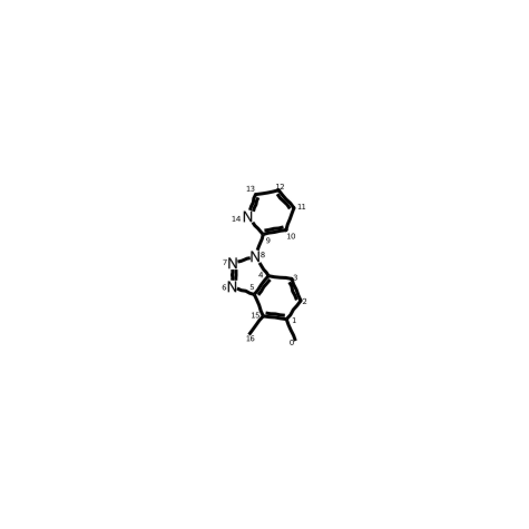 Cc1ccc2c(nnn2-c2ccccn2)c1C